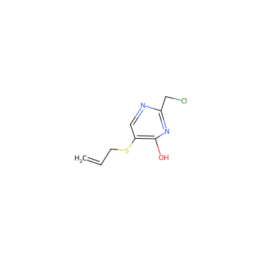 C=CCSc1cnc(CCl)nc1O